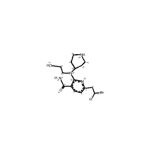 CCCCC(CC)Cc1ccc(C(N)=O)c(N(CCO)C2CCNCC2)n1